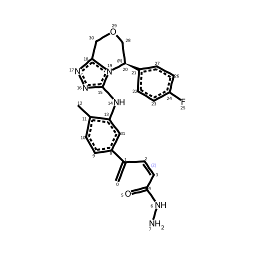 C=C(/C=C\C(=O)NN)c1ccc(C)c(Nc2nnc3n2[C@H](c2ccc(F)cc2)COC3)c1